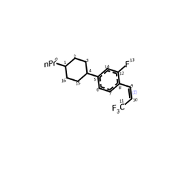 CCCC1CCC(c2ccc(/C=C\C(F)(F)F)c(F)c2)CC1